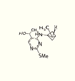 CSc1ncc(C(C)O)c(NC23CC(C2)[C@H]3C)n1